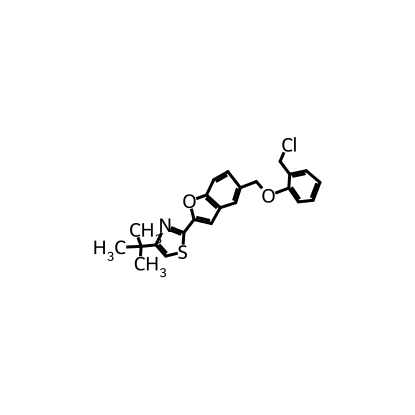 CC(C)(C)c1csc(-c2cc3cc(COc4ccccc4CCl)ccc3o2)n1